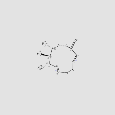 C[C@@H]1CCC(=O)/C=C/CC/C=C/[C@H](C)[C@H]1O